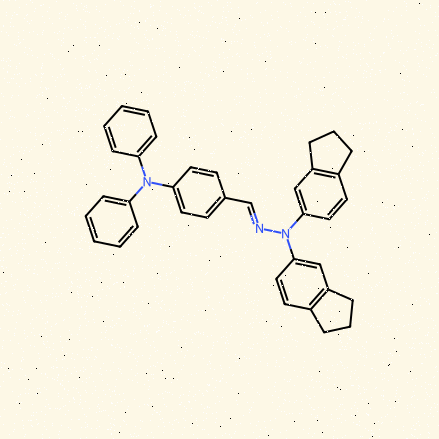 C(=NN(c1ccc2c(c1)CCC2)c1ccc2c(c1)CCC2)c1ccc(N(c2ccccc2)c2ccccc2)cc1